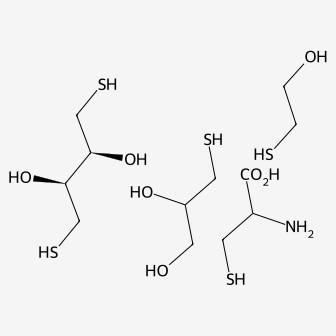 NC(CS)C(=O)O.OCC(O)CS.OCCS.O[C@H](CS)[C@H](O)CS